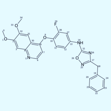 COc1cc2nccc(Oc3ccc(Nc4nc(Cc5ccccc5)no4)cc3F)c2cc1OC